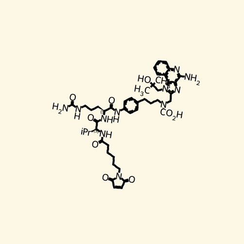 CC(C)[C@H](NC(=O)CCCCCN1C(=O)C=CC1=O)C(=O)N[C@@H](CCCNC(N)=O)C(=O)Nc1ccc(CCCN(Cc2nc3c(N)nc4ccccc4c3n2CC(C)(C)O)C(=O)O)cc1